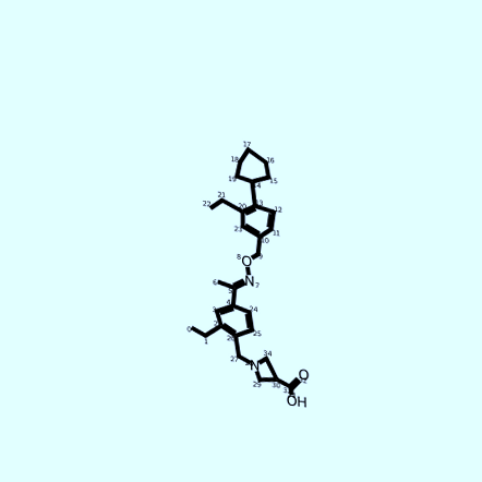 CCc1cc(/C(C)=N/OCc2ccc(C3CCCCC3)c(CC)c2)ccc1CN1CC(C(=O)O)C1